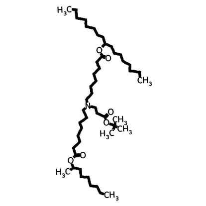 CCCCCCCCC(CCCCCCCC)OC(=O)CCCCCCCN(CCCCCCCC(=O)OC(C)CCCCCCC)CCC(=O)OC(C)(C)C